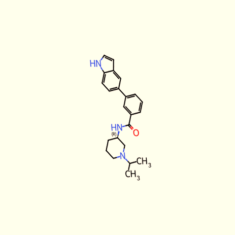 CC(C)N1CCC[C@@H](NC(=O)c2cccc(-c3ccc4[nH]ccc4c3)c2)C1